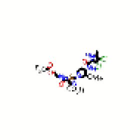 CO[C@H]1CN(c2nc(C(=O)O)c(C(=O)NCCOC(=O)C(F)(F)F)s2)CC[C@H]1NC(=O)c1[nH]c(C)c(Cl)c1Cl